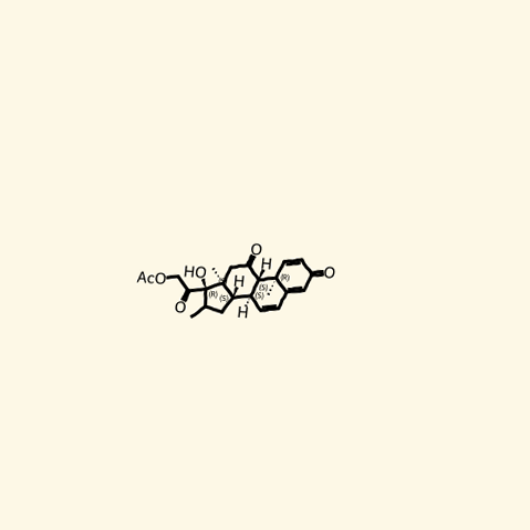 CC(=O)OCC(=O)[C@@]1(O)C(C)C[C@H]2[C@@H]3C=CC4=CC(=O)C=C[C@]4(C)[C@H]3C(=O)C[C@@]21C